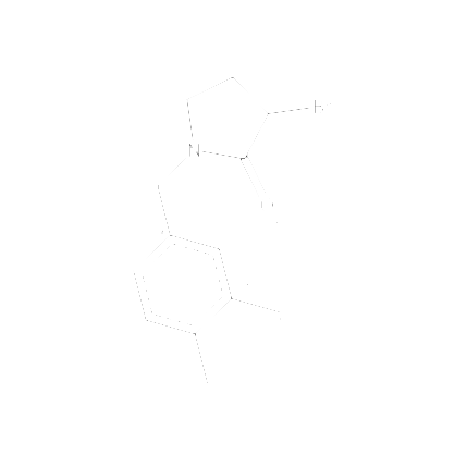 Cc1ccc(CN2CCC(Br)C2=O)cc1C